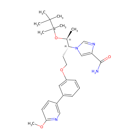 COc1ccc(-c2cccc(OCC[C@H]([C@H](C)O[Si](C)(C)C(C)(C)C)n3cnc(C(N)=O)c3)c2)cn1